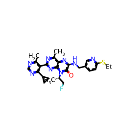 CCSc1ccc(CNc2nc3c(C)nc(-c4c(C)ncnc4C4CC4)nc3n([C@@H](C)CF)c2=O)cn1